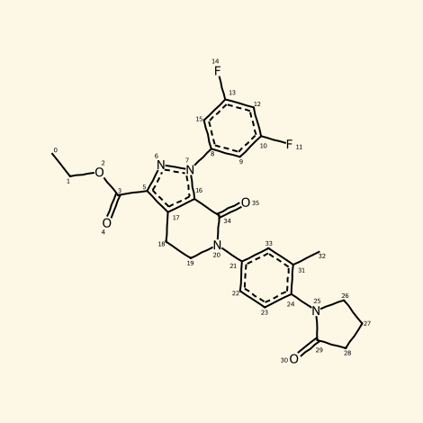 CCOC(=O)c1nn(-c2cc(F)cc(F)c2)c2c1CCN(c1ccc(N3CCCC3=O)c(C)c1)C2=O